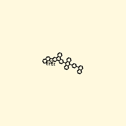 CC[Si]1(CC)c2cc3c4ccc(-c5c6ccccc6c(-c6ccc(-c7cccc8ccccc78)cc6)c6ccccc56)cc4c4ccccc4c3cc2-c2ccc3ccccc3c21